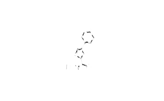 NC(=O)c1cc(-c2ccccc2)cs1